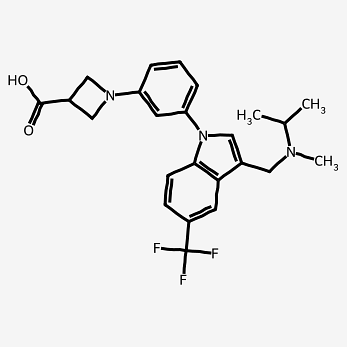 CC(C)N(C)Cc1cn(-c2cccc(N3CC(C(=O)O)C3)c2)c2ccc(C(F)(F)F)cc12